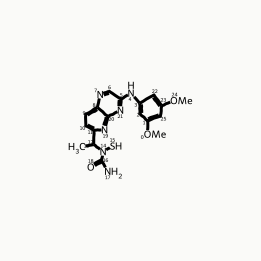 COc1cc(Nc2cnc3ccc(C(C)N(S)C(N)=O)nc3n2)cc(OC)c1